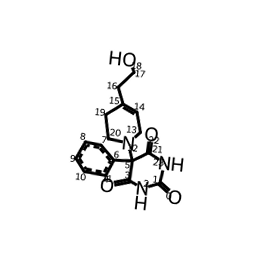 O=C1NC(=O)C(c2ccccc2)(N2CC=C(CCO)CC2)C(=O)N1